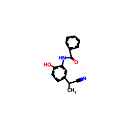 CC(C#N)c1ccc(O)c(NC(=O)c2ccccc2)c1